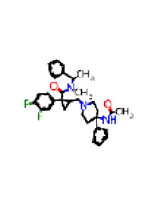 CC(=O)NC1(c2ccccc2)CCN(CC2CC2(C(=O)N(C)C(C)c2ccccc2)c2ccc(F)c(F)c2)CC1